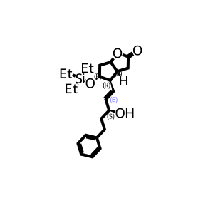 CC[Si](CC)(CC)O[C@@H]1CC2OC(=O)C[C@@H]2[C@H]1/C=C/[C@@H](O)CCc1ccccc1